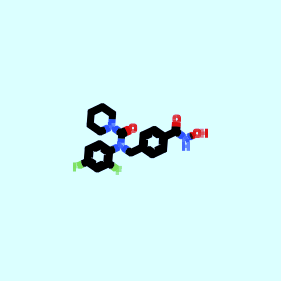 O=C(NO)c1ccc(CN(C(=O)N2CCCCC2)c2ccc(F)cc2F)cc1